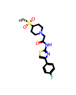 CCCS(=O)(=O)C1CCN(CC(=O)Nc2nc(-c3ccc(F)cc3)cs2)CC1